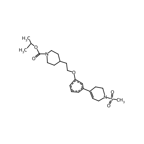 CC(C)OC(=O)N1CCC(CCOc2cccc(C3=CCN(S(C)(=O)=O)CC3)c2)CC1